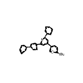 CC(C)(C)c1ccc(-c2cc(-c3ccccc3)nc(-c3ccc(-c4ccccc4)cc3)c2)cc1